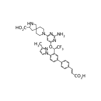 Cc1ccn(-c2ccc(-c3ccc(/C=C/C(=O)O)cc3)cc2[C@@H](Oc2cc(N3CCC4(CC3)CNC(C(=O)O)C4)nc(N)n2)C(F)(F)F)n1